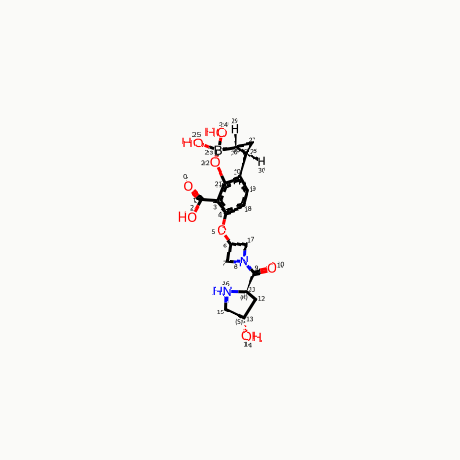 O=C(O)c1c(OC2CN(C(=O)[C@H]3C[C@H](O)CN3)C2)ccc2c1O[B-](O)(O)[C@@H]1C[C@H]21